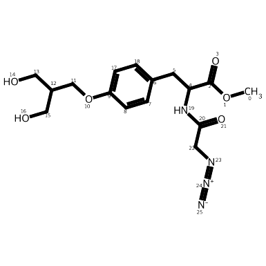 COC(=O)C(Cc1ccc(OCC(CO)CO)cc1)NC(=O)CN=[N+]=[N-]